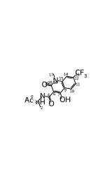 CC(=O)[C@@H](C)NC(=O)c1c(O)c2ccc(C(F)(F)F)cc2n(C)c1=O